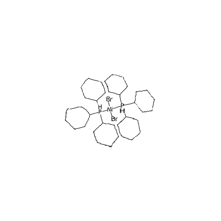 [Br][Ni]([Br])([PH](C1CCCCC1)(C1CCCCC1)C1CCCCC1)[PH](C1CCCCC1)(C1CCCCC1)C1CCCCC1